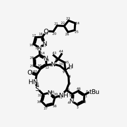 CC(C)(C)c1ccnc(C2CC[C@@H]3CN(c4nc(-n5ccc(OCCC6CCCC6)n5)ccc4C(=O)NSc4cccc(n4)N2)C(C)(C)C3)c1